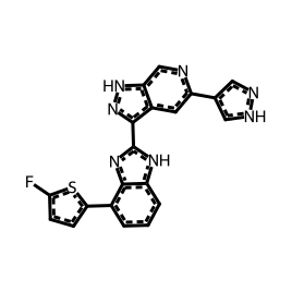 Fc1ccc(-c2cccc3[nH]c(-c4n[nH]c5cnc(-c6cn[nH]c6)cc45)nc23)s1